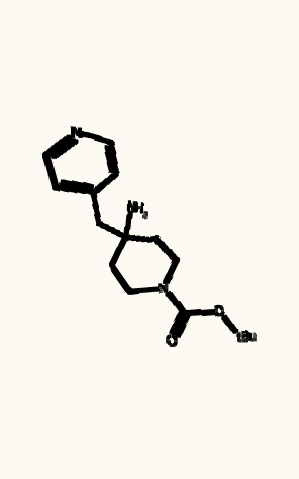 CC(C)(C)OC(=O)N1CCC(N)(Cc2ccncc2)CC1